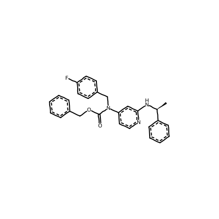 C[C@H](Nc1cc(N(Cc2ccc(F)cc2)C(=O)OCc2ccccc2)ccn1)c1ccccc1